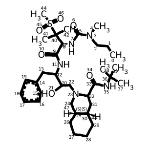 CCCN(C)C(=O)N[C@H](C(=O)NC(Cc1ccccc1)C(O)CN1C[C@H]2CCCC[C@H]2CC1C(=O)NC(C)(C)C)C(C)(C)S(C)(=O)=O